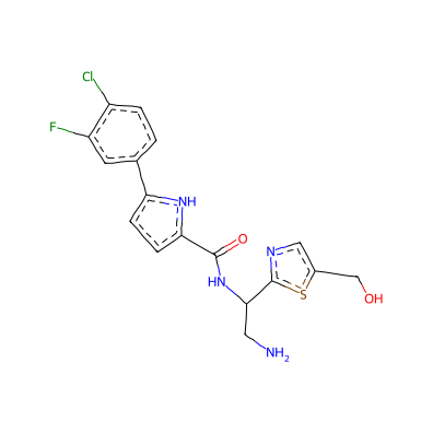 NCC(NC(=O)c1ccc(-c2ccc(Cl)c(F)c2)[nH]1)c1ncc(CO)s1